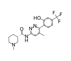 Cc1cc(NC(=O)[C@H]2CCCN(C)C2)nnc1-c1ccc(C(F)(F)F)cc1O